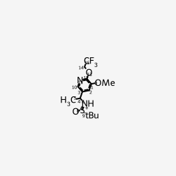 COc1cc(C(C)N[S+]([O-])C(C)(C)C)cnc1OCC(F)(F)F